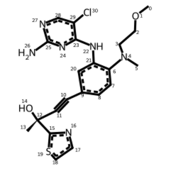 COCCN(C)c1ccc(C#C[C@@](C)(O)c2nccs2)cc1Nc1nc(N)ncc1Cl